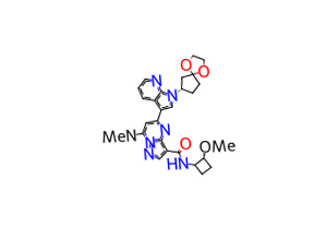 CNc1cc(-c2cn([C@H]3CCC4(C3)OCCO4)c3ncccc23)nc2c(C(=O)NC3CC[C@@H]3OC)cnn12